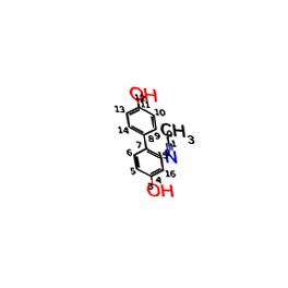 CC#N.Oc1ccc(-c2ccc(O)cc2)cc1